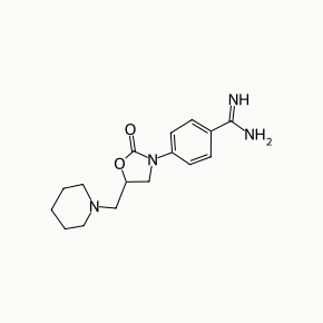 N=C(N)c1ccc(N2CC(CN3CCCCC3)OC2=O)cc1